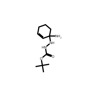 CC(C)(C)OC(=O)NNC1(N)C=CCCC1